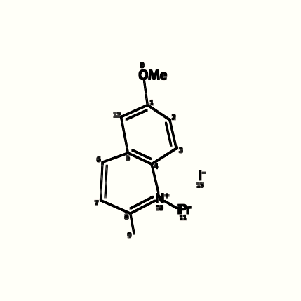 COc1ccc2c(ccc(C)[n+]2C(C)C)c1.[I-]